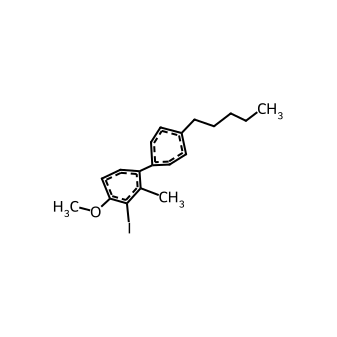 CCCCCc1ccc(-c2ccc(OC)c(I)c2C)cc1